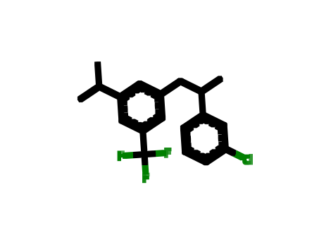 CC(C)c1cc(CC(C)c2cccc(Cl)c2)cc(C(F)(F)F)c1